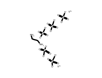 NCCN.O=S(=O)([O-])[O-].O=S(=O)([O-])[O-].O=S(=O)([O-])[O-].O=S(=O)([O-])[O-].O=S(=O)([O-])[O-].[V+5].[V+5]